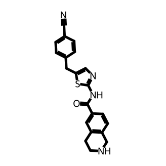 N#Cc1ccc(Cc2cnc(NC(=O)c3ccc4c(c3)CCNC4)s2)cc1